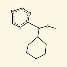 CSN(c1ncncn1)C1CCCCC1